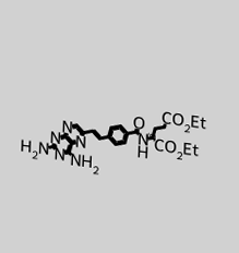 CCOC(=O)CC[C@H](NC(=O)c1ccc(C=Cc2cnc3nc(N)nc(N)c3n2)cc1)C(=O)OCC